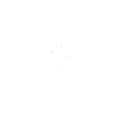 COc1cc(I)cc2nn(C)c(=O)n12